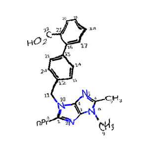 CCCc1nc2c(nc(C)n2C)n1Cc1ccc(-c2ccccc2C(=O)O)cc1